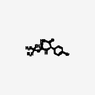 CC(C)(C)OC(=O)N[C@@H](C(=O)O)c1ccc(Br)cc1